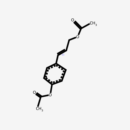 CC(=O)OC/C=C/c1ccc(OC(C)=O)cc1